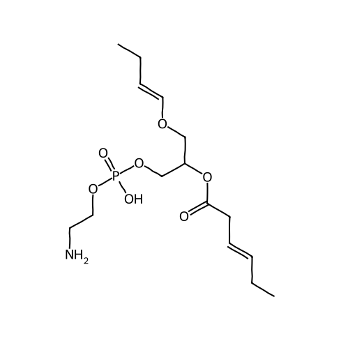 CCC=CCC(=O)OC(COC=CCC)COP(=O)(O)OCCN